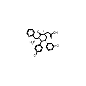 C[C@]1(CC(=O)O)C[C@H](c2cccc(Cl)c2)C(c2ccc(Cl)cc2)N([C@H](P)c2ccccn2)C1=O